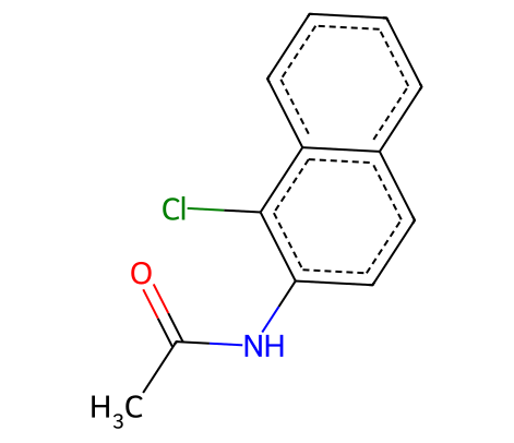 CC(=O)Nc1ccc2ccccc2c1Cl